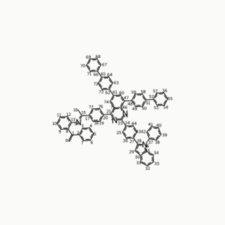 C=C(c1ccccc1)c1ccccc1/N=C(\C)c1ccc(-c2nc(-c3ccc(-c4cc5ccccc5n4-c4ccccc4)cc3)nc3c(-c4ccc(-c5ccccc5)cc4)cc(-c4ccc(-c5ccccc5)cc4)cc23)cc1